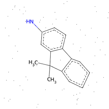 CC1(C)c2ccccc2-c2ccc([NH])cc21